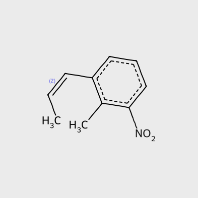 C/C=C\c1cccc([N+](=O)[O-])c1C